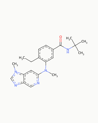 CCc1ccc(C(=O)NC(C)(C)C)cc1N(C)c1cc2c(cn1)ncn2C